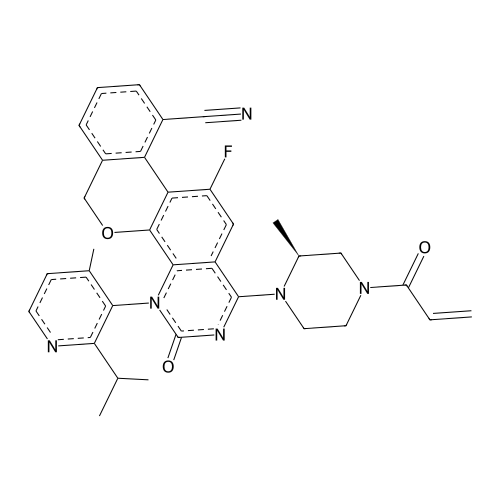 C=CC(=O)N1CCN(c2nc(=O)n(-c3c(C)ccnc3C(C)C)c3c4c(c(F)cc23)-c2c(C#N)cccc2CO4)[C@@H](C)C1